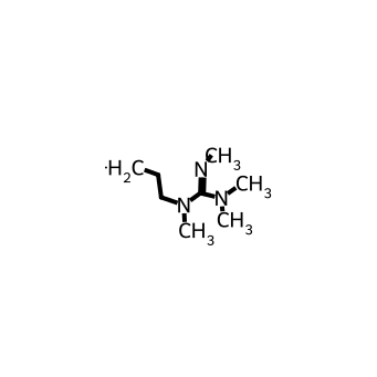 [CH2]CCN(C)C(=NC)N(C)C